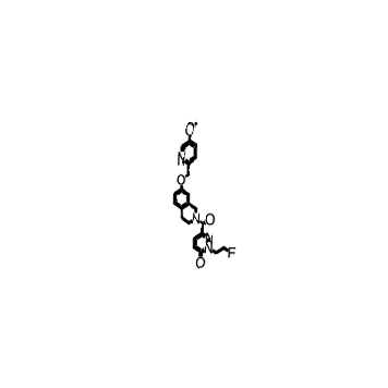 COc1ccc(COc2ccc3c(c2)CN(C(=O)c2ccc(=O)n(CCF)n2)CC3)nc1